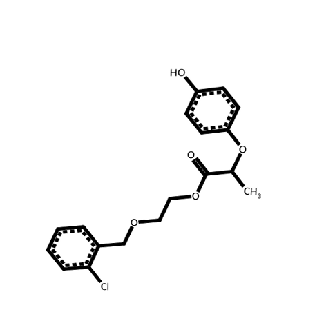 CC(Oc1ccc(O)cc1)C(=O)OCCOCc1ccccc1Cl